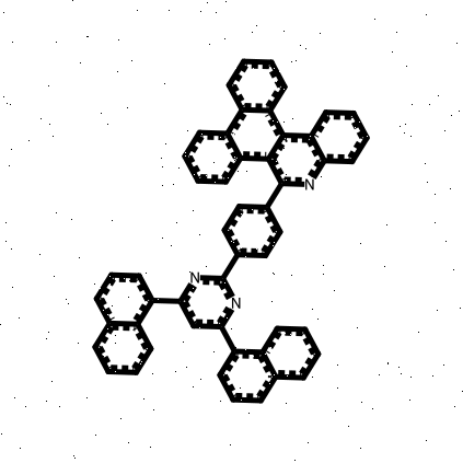 c1ccc2c(-c3cc(-c4cccc5ccccc45)nc(-c4ccc(-c5nc6ccccc6c6c7ccccc7c7ccccc7c56)cc4)n3)cccc2c1